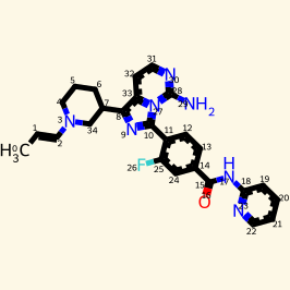 CC=CN1CCCC(c2nc(-c3ccc(C(=O)Nc4ccccn4)cc3F)n3c(N)nccc23)C1